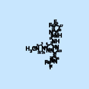 CN1CCN(c2cc(NCc3nc4c(F)c(F)ccc4[nH]3)c3ncc(-c4cnn(C(F)F)c4)n3n2)CC1